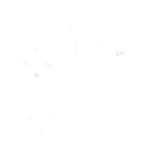 CNCCSCCNC(=O)c1ccc(N(C)c2nccn3c(-c4ccc(OC(F)F)cc4)cnc23)cc1C